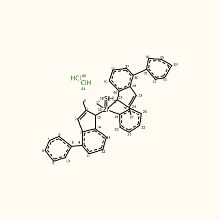 CC1=Cc2c(-c3ccccc3)cccc2[CH]1[Zr]([CH3])(=[SiH2])([c]1ccccc1)[CH]1C(C)=Cc2c(-c3ccccc3)cccc21.Cl.Cl